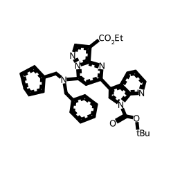 CCOC(=O)c1cnn2c(N(Cc3ccccc3)Cc3ccccc3)cc(-c3cn(C(=O)OC(C)(C)C)c4ncccc34)nc12